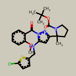 COc1ccccc1C(=O)n1nc(C2(C)CCCN2C(=O)OC(C)(C)C)cc1NCc1ccc(Cl)s1